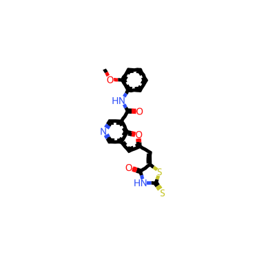 COc1ccccc1NC(=O)c1cncc2cc(C=C3SC(=S)NC3=O)oc12